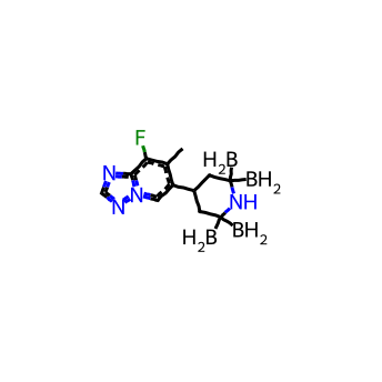 BC1(B)CC(c2cn3ncnc3c(F)c2C)CC(B)(B)N1